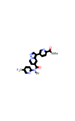 CNC(=O)c1ccc(-c2cnn3ccc(C(=O)N(c4ccc(C(F)(F)F)cn4)C(C)C)cc23)cn1